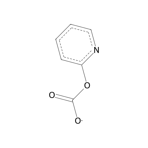 [O]C(=O)Oc1ccccn1